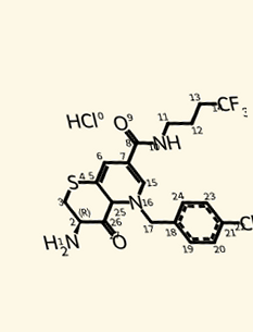 Cl.N[C@H]1CSC2=CC(C(=O)NCCCC(F)(F)F)=CN(Cc3ccc(Cl)cc3)C2C1=O